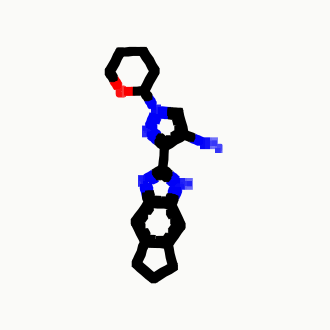 Nc1cn(C2CCCCO2)nc1-c1nc2cc3c(cc2[nH]1)CCC3